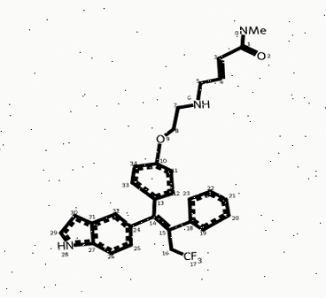 CNC(=O)/C=C/CNCCOc1ccc(/C(=C(/CC(F)(F)F)c2ccccc2)c2ccc3[nH]ccc3c2)cc1